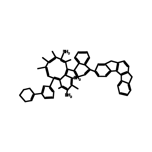 Bc1c(C)c(C)c(C)cc(-c2cccc(C3=CCCCC3)c2)c2c(C)c(B)c(C)c(B)c2c(-c2ccc(-c3ccc4c(c3)Cc3ccc5c(c3-4)-c3ccccc3C5)c3ccccc23)c1C